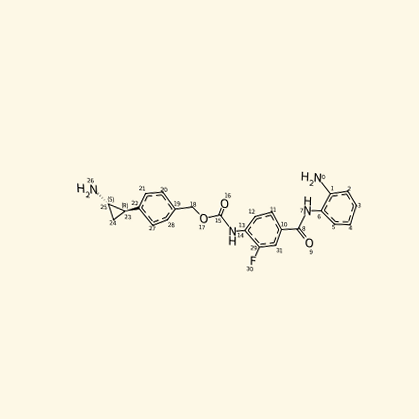 Nc1ccccc1NC(=O)c1ccc(NC(=O)OCc2ccc([C@H]3C[C@@H]3N)cc2)c(F)c1